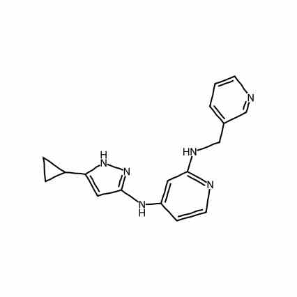 c1cncc(CNc2cc(Nc3cc(C4CC4)[nH]n3)ccn2)c1